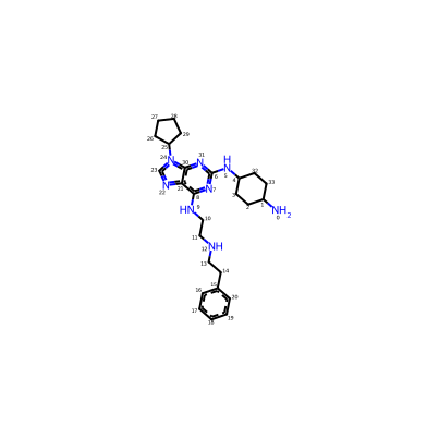 NC1CCC(Nc2nc(NCCNCCc3ccccc3)c3ncn(C4CCCC4)c3n2)CC1